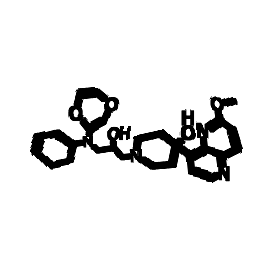 COc1ccc2nccc(C3(O)CCN(CC(O)CN(C4=CC=CCC4)C4=COC=CO4)CC3)c2n1